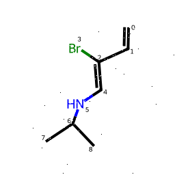 C=C/C(Br)=C/NC(C)C